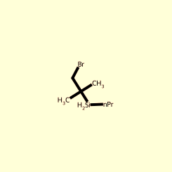 CCC[SiH2]C(C)(C)CBr